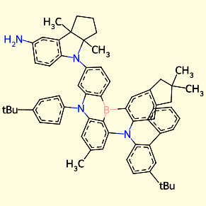 Cc1cc2c3c(c1)N(c1ccc(C(C)(C)C)cc1-c1ccccc1)c1cc4c(cc1B3c1ccc(N3c5ccc(N)cc5C5(C)CCCC35C)cc1N2c1ccc(C(C)(C)C)cc1)CC(C)(C)C4